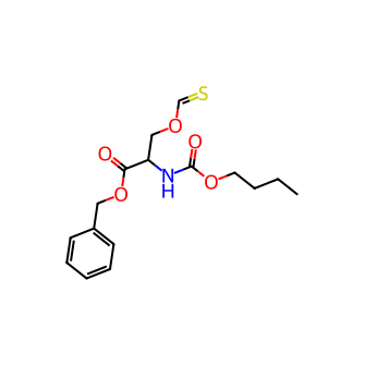 CCCCOC(=O)NC(COC=S)C(=O)OCc1ccccc1